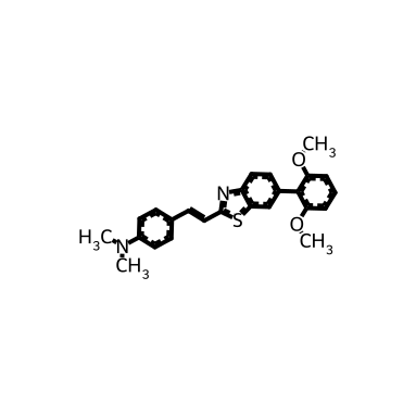 COc1cccc(OC)c1-c1ccc2nc(C=Cc3ccc(N(C)C)cc3)sc2c1